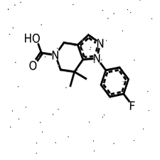 CC1(C)CN(C(=O)O)Cc2cnn(-c3ccc(F)cc3)c21